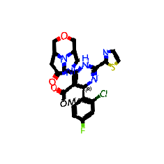 COC(=O)C1=C(CN2C3CNC(=O)CC2COC3)NC(c2nccs2)=N[C@H]1c1ccc(F)cc1Cl